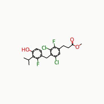 COC(=O)CCc1cc(Cl)c(Cc2ccc(O)c(C(C)C)c2F)c(Cl)c1F